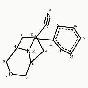 N#CC1CC2COCC(C1)N2Cc1ccccc1